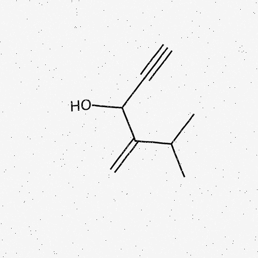 C#CC(O)C(=C)C(C)C